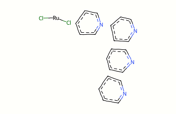 [Cl][Ru][Cl].c1ccncc1.c1ccncc1.c1ccncc1.c1ccncc1